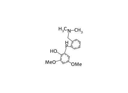 COc1cc(OC)c(O)c(Pc2ccccc2CN(C)C)c1